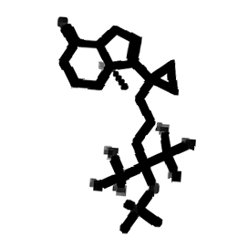 [2H]C([2H])([2H])C(CCCC1(C2=CCC3C(=O)CCC[C@]23C)CC1)(O[Si](C)(C)C)C([2H])([2H])[2H]